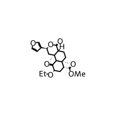 CCO[C@H]1C[C@@H](C(=O)OC)[C@]2(C)CC[C@H]3C(=O)O[C@H](c4ccoc4)C[C@]3(C)C2C1=O